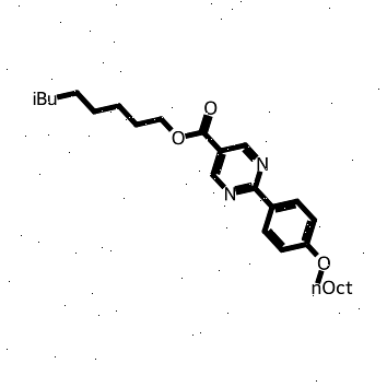 CCCCCCCCOc1ccc(-c2ncc(C(=O)OCCCCCC(C)CC)cn2)cc1